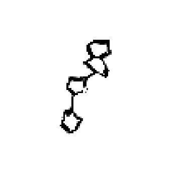 c1ccc(-c2ccc(-c3ccc4ccccc4c3)o2)cc1